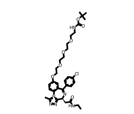 CCNC(=O)C[C@@H]1N=C(c2ccc(Cl)cc2)c2cc(OCCOCCOCCOCCNC(=O)OC(C)(C)C)ccc2-n2c(C)nnc21